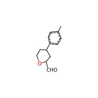 Cc1ccc(C2CCOC(C=O)C2)cc1